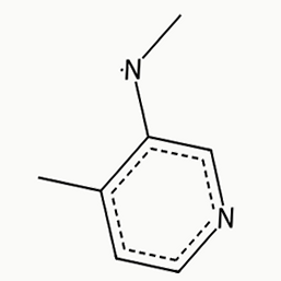 C[N]c1cnccc1C